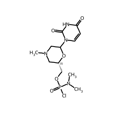 CN1CC(n2ccc(=O)[nH]c2=O)O[C@H](COP(=O)(Cl)N(C)C)C1